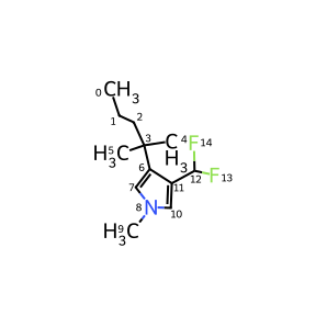 CCCC(C)(C)c1cn(C)cc1C(F)F